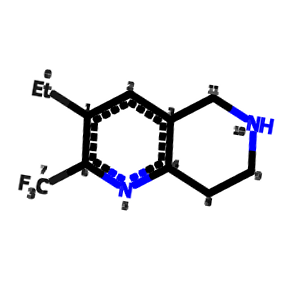 CCc1cc2c(nc1C(F)(F)F)CCNC2